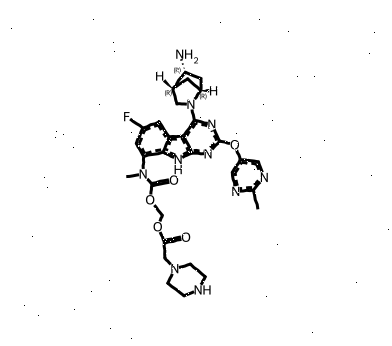 Cc1ncc(Oc2nc(N3C[C@H]4C[C@@H]3C[C@H]4N)c3c(n2)[nH]c2c(N(C)C(=O)OCOC(=O)CN4CCNCC4)cc(F)cc23)cn1